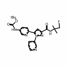 CC(C)(CF)NC(=O)c1cc(-c2ccc(NC(=O)OC(C)(C)C)cn2)n(-c2cccnc2)n1